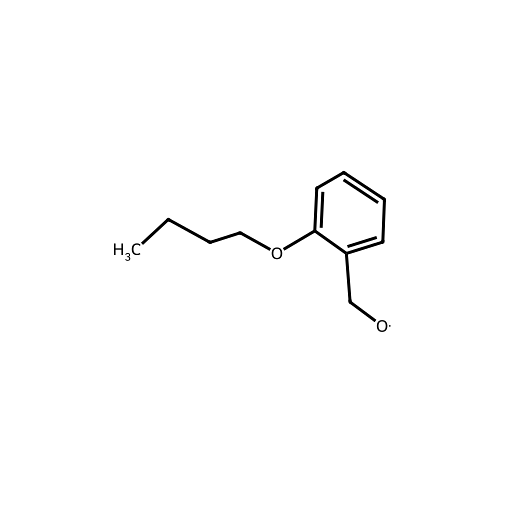 CCCCOc1ccccc1C[O]